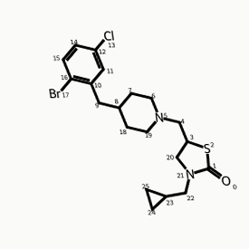 O=C1SC(CN2CCC(Cc3cc(Cl)ccc3Br)CC2)CN1CC1CC1